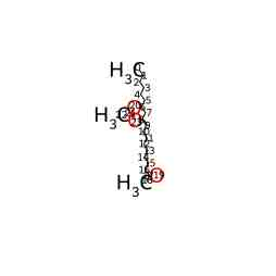 CCCCCCC(CC=CCCCCCCCC(C)=O)OC(C)=O